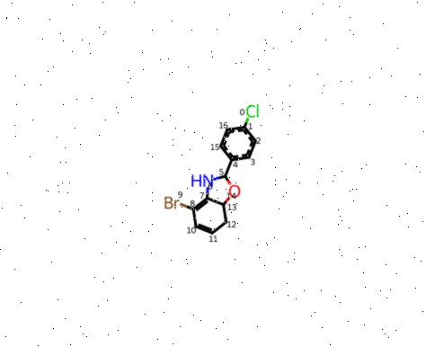 Clc1ccc(C2NC3=C(Br)C=CCC3O2)cc1